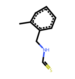 Cc1ccccc1CNC=S